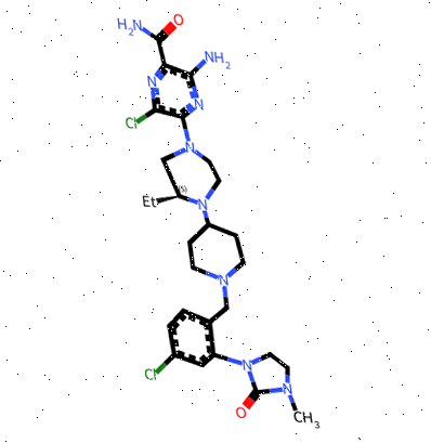 CC[C@H]1CN(c2nc(N)c(C(N)=O)nc2Cl)CCN1C1CCN(Cc2ccc(Cl)cc2N2CCN(C)C2=O)CC1